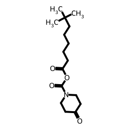 CC(C)(C)CCCCCC(=O)OC(=O)N1CCC(=O)CC1